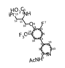 CC(=O)Nc1cc(-c2cc(F)c(OCC(CC(C)C)NC(=O)O)c(C(F)(F)F)c2)ccn1